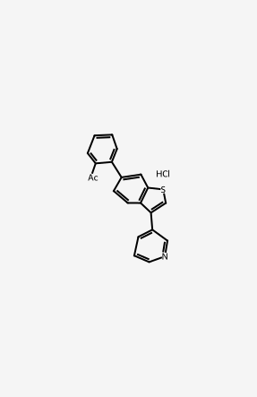 CC(=O)c1ccccc1-c1ccc2c(-c3cccnc3)csc2c1.Cl